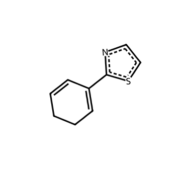 C1=CC(c2nccs2)=CCC1